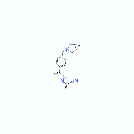 C=C(C#N)/N=C/C(=C)c1ccc(CN2CC3CC3C2)cc1